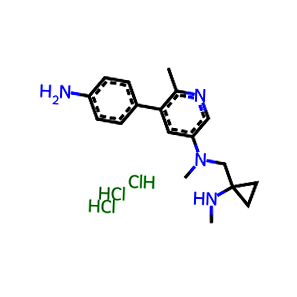 CNC1(CN(C)c2cnc(C)c(-c3ccc(N)cc3)c2)CC1.Cl.Cl.Cl